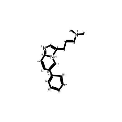 CN(C)C=CCc1cnc2ccc(-c3ccccc3)cn12